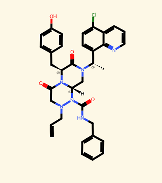 C=CCN1CC(=O)N2[C@@H](Cc3ccc(O)cc3)C(=O)N([C@@H](C)c3ccc(Cl)c4cccnc34)C[C@@H]2N1C(=O)NCc1ccccc1